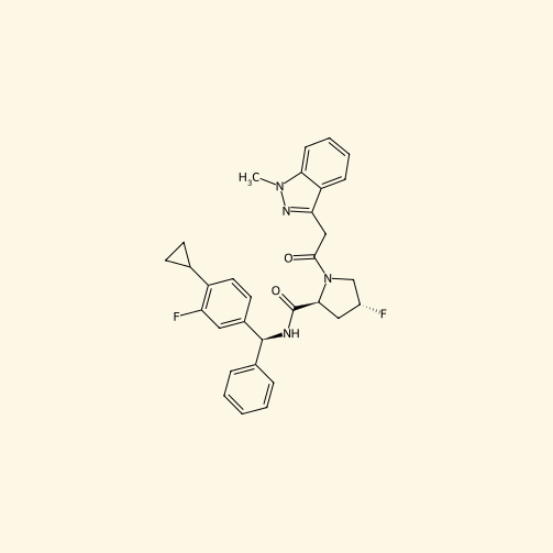 Cn1nc(CC(=O)N2C[C@H](F)C[C@H]2C(=O)N[C@@H](c2ccccc2)c2ccc(C3CC3)c(F)c2)c2ccccc21